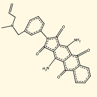 C=CCN(C)Cc1cccc(-n2c(=O)c3c(N)c4c(=O)c5ccccc5c(=O)c4c(N)c3c2=O)c1